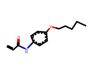 C=CC(=O)Nc1ccc(OCCCCC)cc1